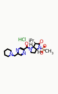 CC(C)[C@H]1C(=O)N(S(C)(=O)=O)[C@H]2CCN(C(=O)c3cnc(CN4CCCCC4)cn3)[C@H]12.Cl